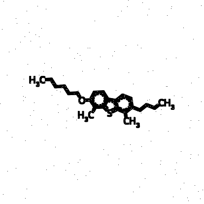 CCCCCCOc1ccc2c(sc3c(C)c(CCCC)ccc32)c1C